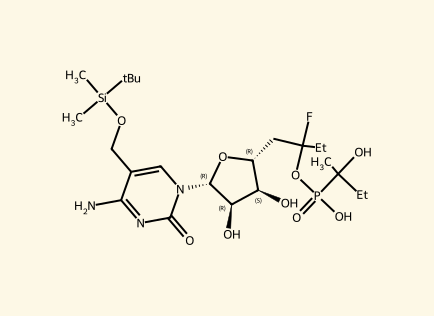 CCC(F)(C[C@H]1O[C@@H](n2cc(CO[Si](C)(C)C(C)(C)C)c(N)nc2=O)[C@H](O)[C@@H]1O)OP(=O)(O)C(C)(O)CC